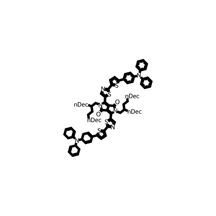 CCCCCCCCCCCCC(CCCCCCCCCC)CN1C(=O)C2=C(c3cnc(-c4ccc(-c5ccc(N(c6ccccc6)c6ccccc6)cc5)s4)s3)N(CC(CCCCCCCCCC)CCCCCCCCCCCC)C(=O)C2=C1c1cnc(-c2ccc(C3=CCC(N(C4=CC=CCC4)C4C=CC=CC4)C=C3)s2)s1